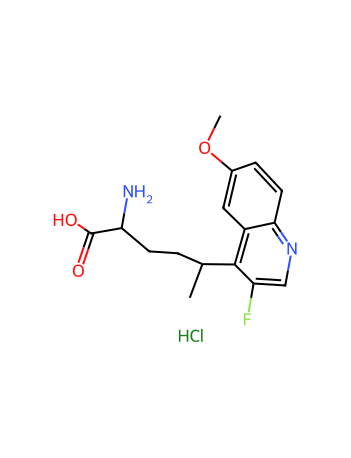 COc1ccc2ncc(F)c(C(C)CCC(N)C(=O)O)c2c1.Cl